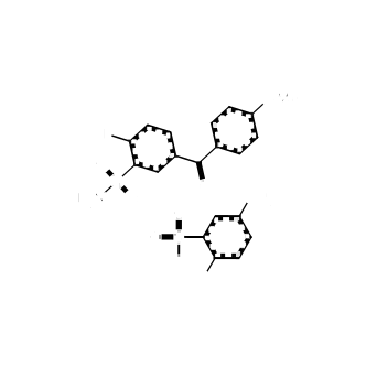 COc1ccc(C(=O)c2ccc(F)c(S(N)(=O)=O)c2)cc1.O=C(O)c1ccc(F)c(S(=O)(=O)Cl)c1